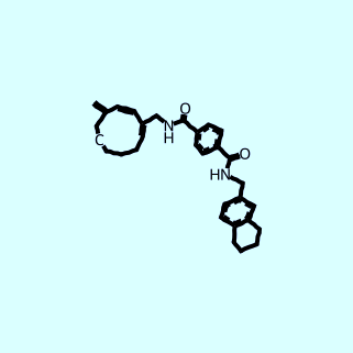 C=C1/C=C\C(CNC(=O)c2ccc(C(=O)NCc3ccc4c(c3)CCCC4)cc2)=C/CCCCC1